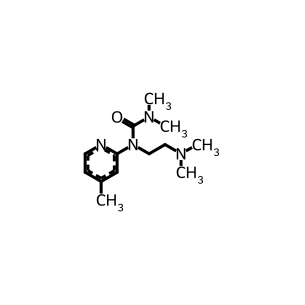 Cc1ccnc(N(CCN(C)C)C(=O)N(C)C)c1